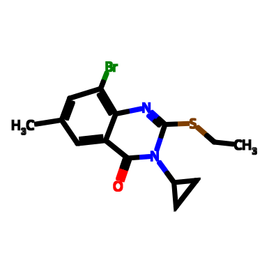 CCSc1nc2c(Br)cc(C)cc2c(=O)n1C1CC1